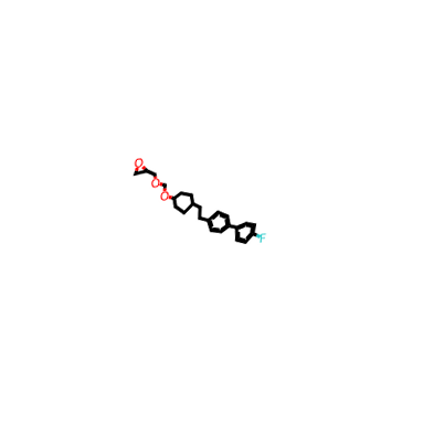 Fc1ccc(-c2ccc(CCC3CCC(OCOCC4CO4)CC3)cc2)cc1